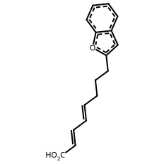 O=C(O)/C=C/C=CCCCc1cc2ccccc2o1